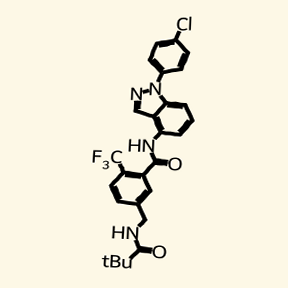 CC(C)(C)C(=O)NCc1ccc(C(F)(F)F)c(C(=O)Nc2cccc3c2cnn3-c2ccc(Cl)cc2)c1